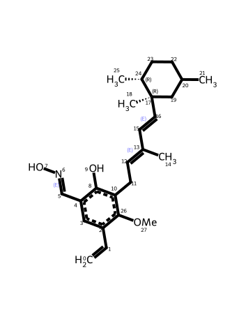 C=Cc1cc(/C=N/O)c(O)c(C/C=C(C)/C=C/[C@]2(C)CC(C)CC[C@H]2C)c1OC